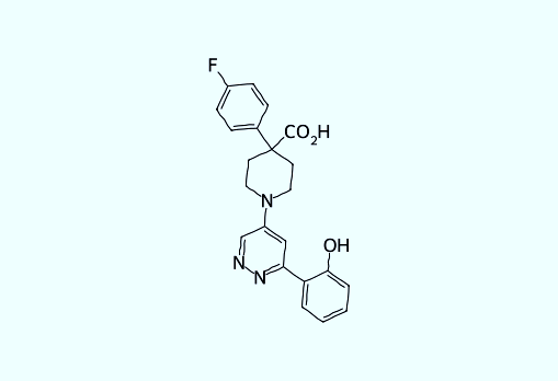 O=C(O)C1(c2ccc(F)cc2)CCN(c2cnnc(-c3ccccc3O)c2)CC1